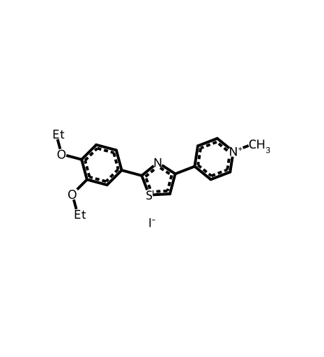 CCOc1ccc(-c2nc(-c3cc[n+](C)cc3)cs2)cc1OCC.[I-]